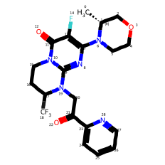 C[C@@H]1COCCN1c1nc2n(c(=O)c1F)CCC(C(F)(F)F)N2CC(=O)c1ccccn1